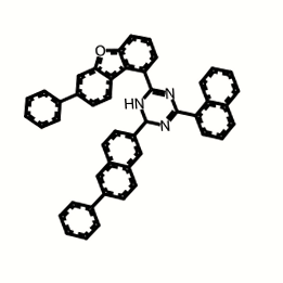 c1ccc(-c2ccc3cc(C4N=C(c5cccc6ccccc56)N=C(c5cccc6oc7cc(-c8ccccc8)ccc7c56)N4)ccc3c2)cc1